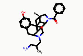 CC(CN)CN1CCC23c4cc(O)ccc4CC1C21CCC2C3[C@@H](CN2C(=O)c2ccccc2)C1